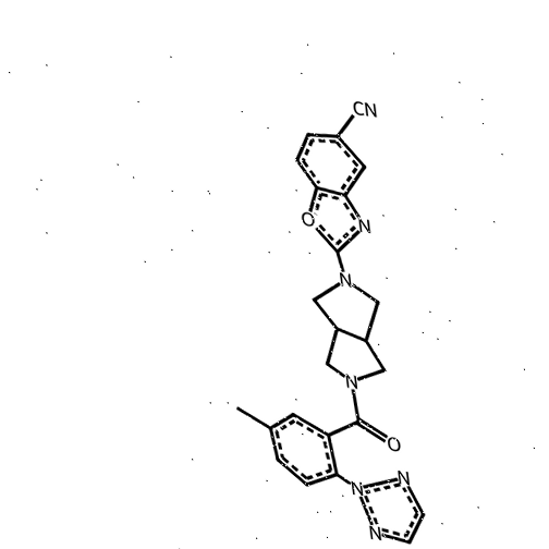 Cc1ccc(-n2nccn2)c(C(=O)N2CC3CN(c4nc5cc(C#N)ccc5o4)CC3C2)c1